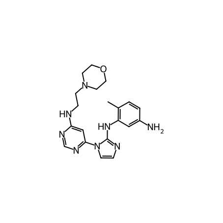 Cc1ccc(N)cc1Nc1nccn1-c1cc(NCCN2CCOCC2)ncn1